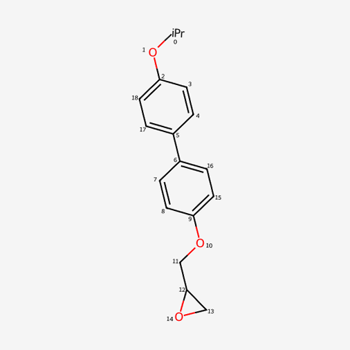 CC(C)Oc1ccc(-c2ccc(OCC3CO3)cc2)cc1